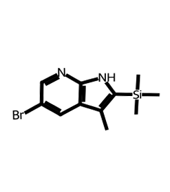 Cc1c([Si](C)(C)C)[nH]c2ncc(Br)cc12